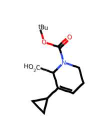 CC(C)(C)OC(=O)N1CCC=C(C2CC2)C1C(=O)O